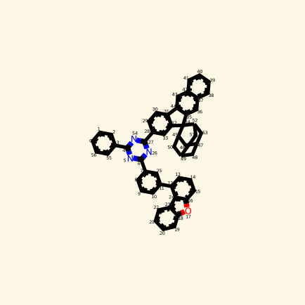 c1ccc(-c2nc(-c3cccc(-c4cccc5oc6ccccc6c45)c3)nc(-c3ccc4c(c3)C3(c5cc6ccccc6cc5-4)C4CC5CC(C4)CC3C5)n2)cc1